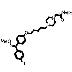 CON=C(c1ccc(Cl)cc1)c1ccc(OCCCCCN2CCN(CC(=O)NC(C)C)CC2)cc1